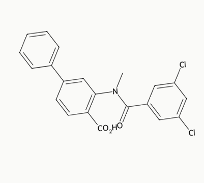 CN(C(=O)c1cc(Cl)cc(Cl)c1)c1cc(-c2ccccc2)ccc1C(=O)O